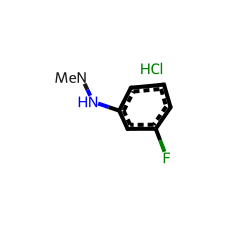 CNNc1cccc(F)c1.Cl